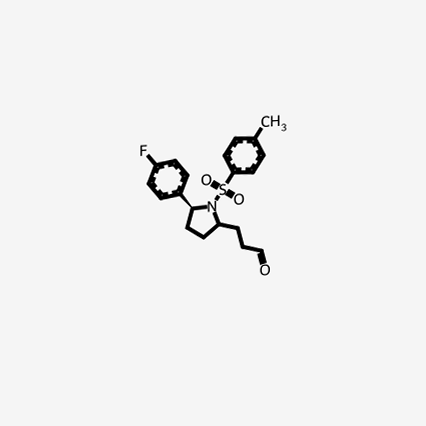 Cc1ccc(S(=O)(=O)N2C(CCC=O)CC[C@H]2c2ccc(F)cc2)cc1